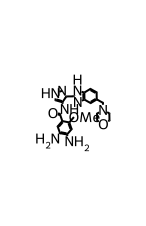 COc1cc(N)c(N)cc1C(=O)Nc1c[nH]nc1-c1nc2cc(CN3CCOCC3)ccc2[nH]1